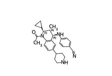 CC(=O)N1c2ccc(C3CCNCC3)cc2[C@H](Nc2ccc(C#N)cc2)[C@@H](C)[C@@H]1C1CC1